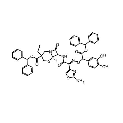 Nc1nc(C(=NOC(C(=O)OC(c2ccccc2)c2ccccc2)c2ccc(O)c(O)c2)C(=O)NC2C(=O)N3CC(CI)(C(=O)OC(c4ccccc4)c4ccccc4)CS[C@H]23)cs1